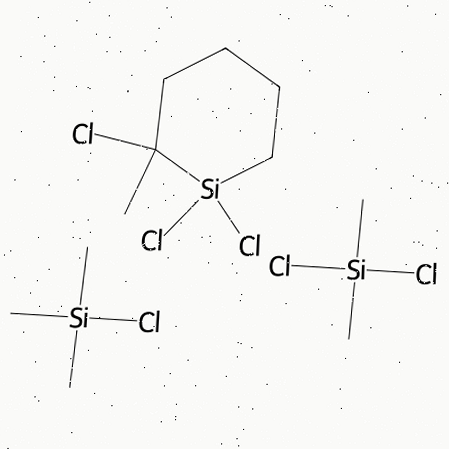 CC1(Cl)CCCC[Si]1(Cl)Cl.C[Si](C)(C)Cl.C[Si](C)(Cl)Cl